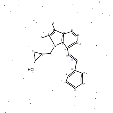 Cc1c(C)n(CC2CC2)c2c(/C=C/c3ccccc3)nccc12.Cl